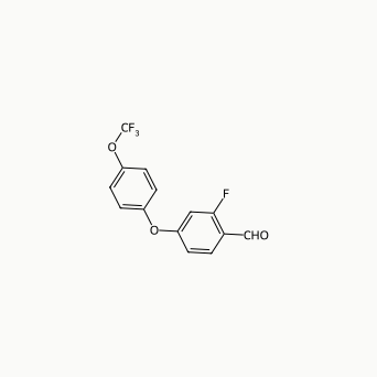 O=Cc1ccc(Oc2ccc(OC(F)(F)F)cc2)cc1F